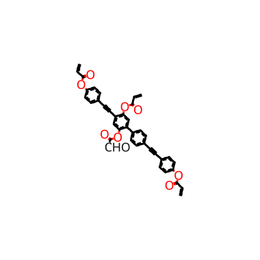 C=CC(=O)Oc1ccc(C#Cc2ccc(-c3cc(OC(=O)C=C)c(C#Cc4ccc(OC(=O)C=C)cc4)cc3OC(=O)C=O)cc2)cc1